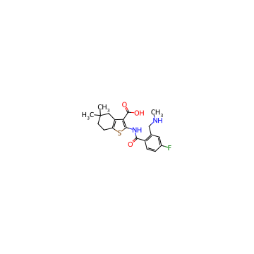 CNCc1cc(F)ccc1C(=O)Nc1sc2c(c1C(=O)O)CC(C)(C)CC2